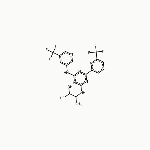 CC(O)C(C)Nc1nc(Nc2cncc(C(F)(F)F)c2)nc(-c2cccc(C(F)(F)F)n2)n1